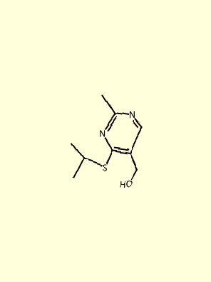 Cc1ncc(CO)c(SC(C)C)n1